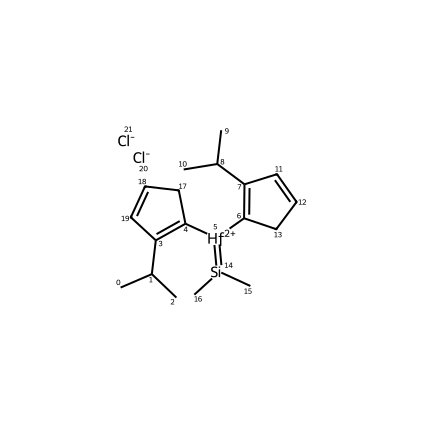 CC(C)C1=[C]([Hf+2]([C]2=C(C(C)C)C=CC2)=[Si](C)C)CC=C1.[Cl-].[Cl-]